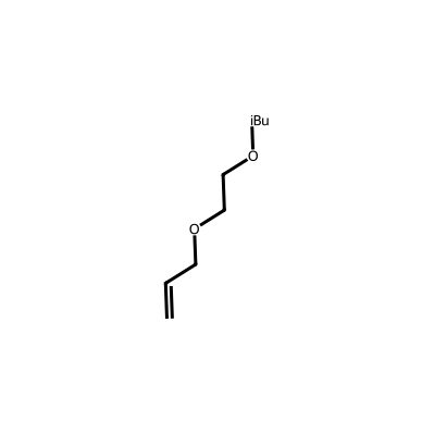 [CH2]CC(C)OCCOCC=C